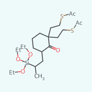 CCO[Si](OCC)(OCC)C(C)CC1CCCC(CCSC(C)=O)(CCSC(C)=O)C1=O